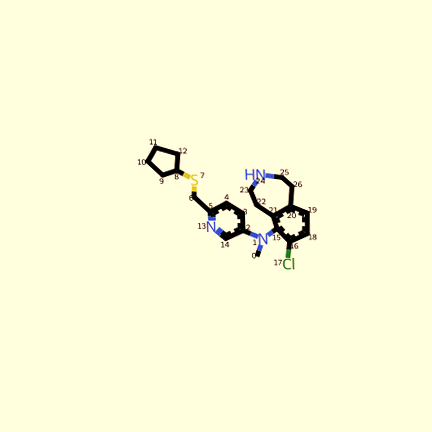 CN(c1ccc(CSC2CCCC2)nc1)c1c(Cl)ccc2c1CCNCC2